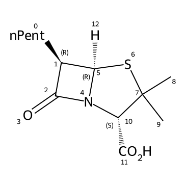 CCCCC[C@@H]1C(=O)N2[C@@H]1SC(C)(C)[C@@H]2C(=O)O